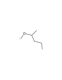 [C]OC(C)CCC